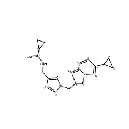 O=C(NCc1cn(Cc2cn3cc(C4CC4)ccc3n2)nn1)C1CC1